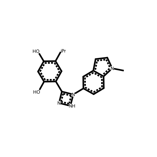 CC(C)c1cc(-c2n[nH]n2-c2ccc3c(ccn3C)c2)c(O)cc1O